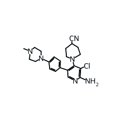 CN1CCN(c2ccc(-c3cnc(N)c(Cl)c3N3CCC(C#N)CC3)cc2)CC1